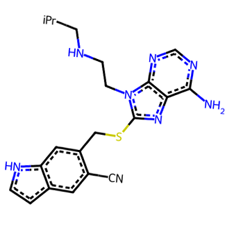 CC(C)CNCCn1c(SCc2cc3[nH]ccc3cc2C#N)nc2c(N)ncnc21